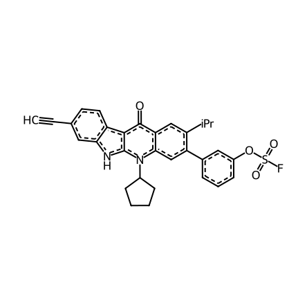 C#Cc1ccc2c(c1)[nH]c1c2c(=O)c2cc(C(C)C)c(-c3cccc(OS(=O)(=O)F)c3)cc2n1C1CCCC1